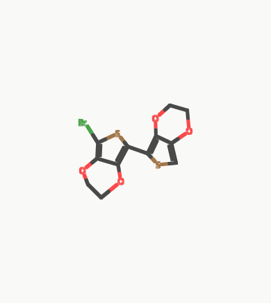 Brc1sc(-c2scc3c2OCCO3)c2c1OCCO2